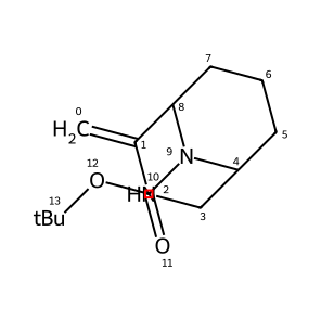 C=C1NCC2CCCC1N2C(=O)OC(C)(C)C